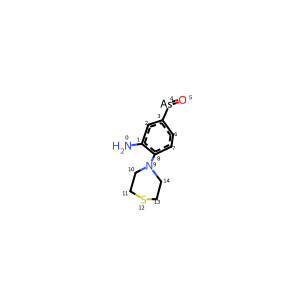 Nc1cc([As]=O)ccc1N1CCSCC1